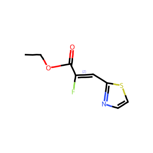 CCOC(=O)/C(F)=C/c1nccs1